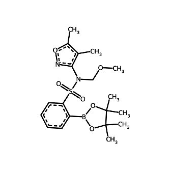 COCN(c1noc(C)c1C)S(=O)(=O)c1ccccc1B1OC(C)(C)C(C)(C)O1